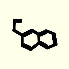 O=C[CH]c1ccc2ccccc2c1